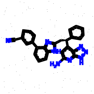 N#Cc1cccc(-c2cccc3[nH]c(C[C@H](c4ccccc4)c4cc(N)nc5[nH]nnc45)nc23)c1